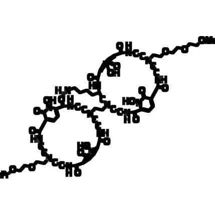 CCCOCCOCCN1CCNC(=O)c2ccc(n(O)c2=O)C(=O)NCCN(CCN2CCNC(=O)c3ccc(c(=O)n3O)C(=O)NCCN(CCOCCOCCOC)CCNC(=O)c3ccc(n(O)c3=O)C(=O)NC(CCCCN)C2)CCNC(=O)c2ccc(c(=O)n2O)C(=O)NCC1